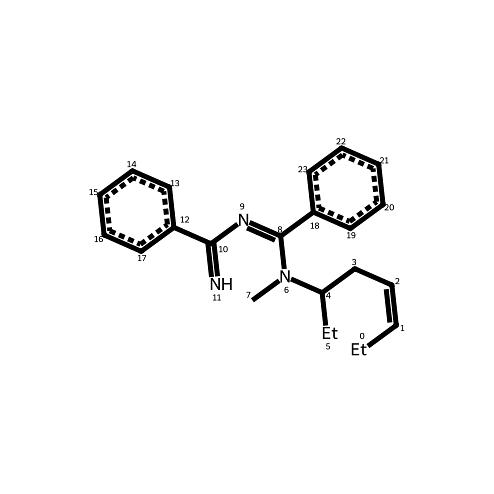 CC/C=C\CC(CC)N(C)/C(=N\C(=N)c1ccccc1)c1ccccc1